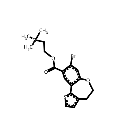 C[Si](C)(C)CCOC(=O)c1cc2c(cc1Br)OCCc1ccsc1-2